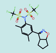 Cc1cc(C)c(N(S(=O)(=O)C(F)(F)F)S(=O)(=O)C(F)(F)F)cc1C1=NOC2CCCC12